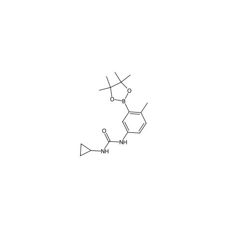 Cc1ccc(NC(=O)NC2CC2)cc1B1OC(C)(C)C(C)(C)O1